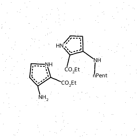 CCCCCNc1cc[nH]c1C(=O)OCC.CCOC(=O)c1[nH]ccc1N